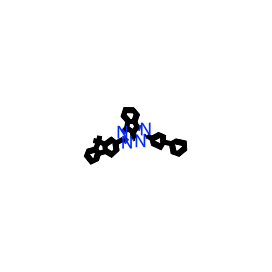 CC1(C)c2ccccc2-c2ccc(-c3nc4c5c(nc(-c6ccc(-c7ccccc7)cc6)nc5n3)-c3ccccc3-4)cc21